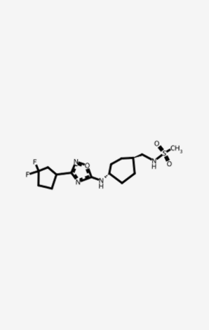 CS(=O)(=O)NC[C@H]1CC[C@H](Nc2nc(C3CCC(F)(F)C3)no2)CC1